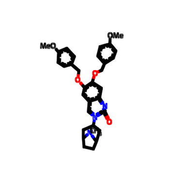 COc1ccc(COc2cc3cn(C4CC5CCC(C4)N5C)c(=O)nc3cc2OCc2ccc(OC)cc2)cc1